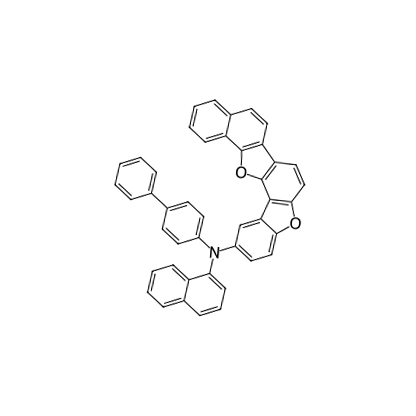 c1ccc(-c2ccc(N(c3ccc4oc5ccc6c7ccc8ccccc8c7oc6c5c4c3)c3cccc4ccccc34)cc2)cc1